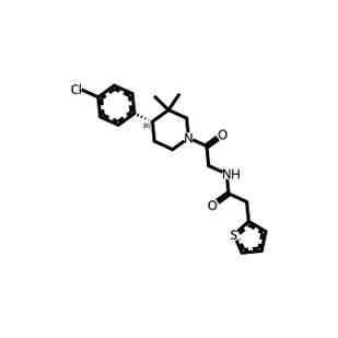 CC1(C)CN(C(=O)CNC(=O)Cc2cccs2)CC[C@@H]1c1ccc(Cl)cc1